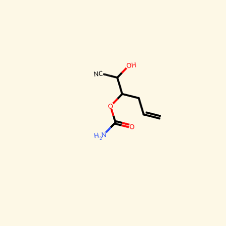 C=CCC(OC(N)=O)C(O)C#N